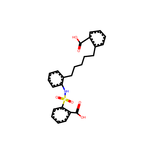 O=C(O)c1ccccc1CCCCCc1ccccc1NS(=O)(=O)c1ccccc1C(=O)O